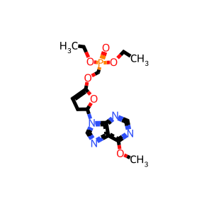 CCOP(=O)(COC1=CCC(n2cnc3c(OC)ncnc32)O1)OCC